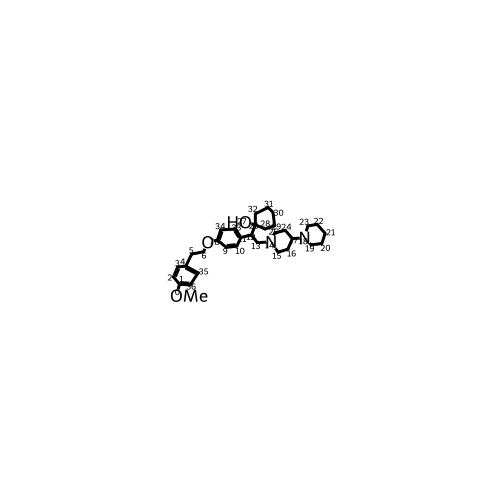 COc1ccc(CCOc2ccc(C(CN3CCC(N4CCCCC4)CC3)C3(O)CCCCC3)cc2)cc1